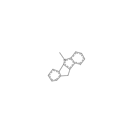 Cn1c2c(c3[c]cccc31)Cc1ccccc1-2